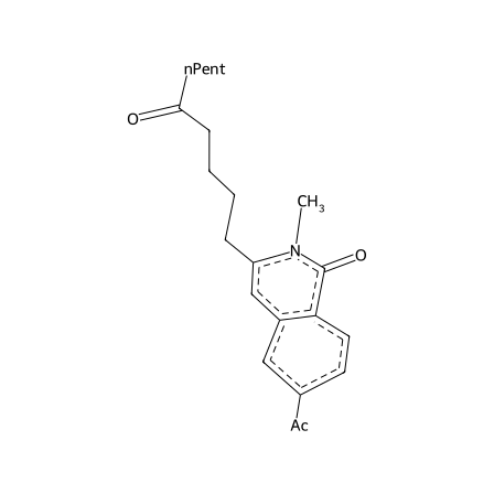 CCCCCC(=O)CCCCc1cc2cc(C(C)=O)ccc2c(=O)n1C